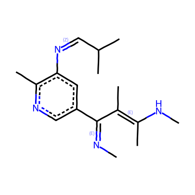 C/N=C(\C(C)=C(/C)NC)c1cnc(C)c(/N=C\C(C)C)c1